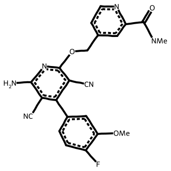 CNC(=O)c1cc(COc2nc(N)c(C#N)c(-c3ccc(F)c(OC)c3)c2C#N)ccn1